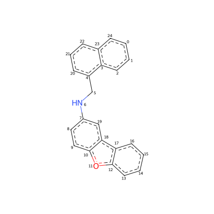 c1ccc2c(CNc3ccc4oc5ccccc5c4c3)cccc2c1